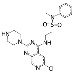 CN(c1ccccc1)S(=O)(=O)CCNc1nc(N2CCNCC2)nc2cnc(Cl)cc12